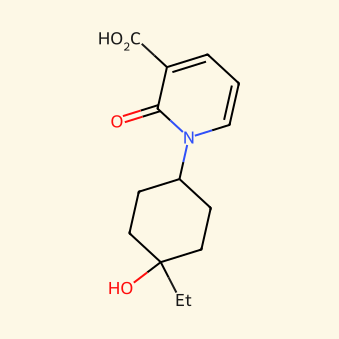 CCC1(O)CCC(n2cccc(C(=O)O)c2=O)CC1